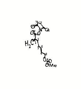 C=C(CCC=CCOC(=O)OC)C(=O)ON1C(=O)CCC1=O